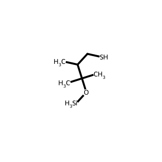 CC(CS)C(C)(C)O[SiH3]